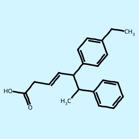 CCc1ccc(C(C=CCC(=O)O)C(C)c2ccccc2)cc1